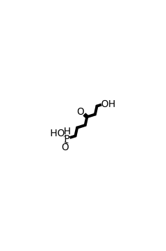 O=C(CCO)CCC[PH](=O)O